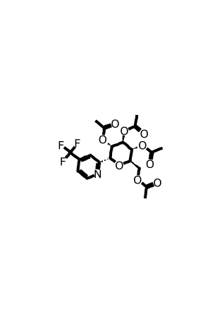 CC(=O)OC[C@H]1O[C@H](c2cc(C(F)(F)F)ccn2)[C@H](OC(C)=O)[C@@H](OC(C)=O)[C@@H]1OC(C)=O